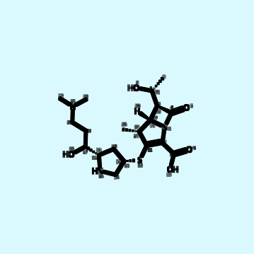 C[C@@H](O)[C@H]1C(=O)N2C(C(=O)O)=C(S[C@@H]3CN[C@H](C(O)CCN(C)C)C3)[C@H](C)[C@H]12